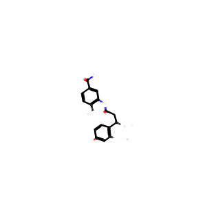 CCCCCC(CC(=O)Nc1cc(C(N)=O)ccc1CCCC)c1ccc(O)cc1OC